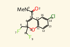 CNC(=O)C1=CC(CF)(CF)Oc2ccc(Cl)cc21